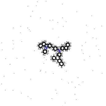 c1ccc(-c2cc3ccccc3cc2-c2ccc(N(c3ccc(-c4ccc5c6ccc7ccccc7c6n(-c6ccccc6)c5c4)cc3)c3ccc4c(ccc5ccccc54)c3)cc2)cc1